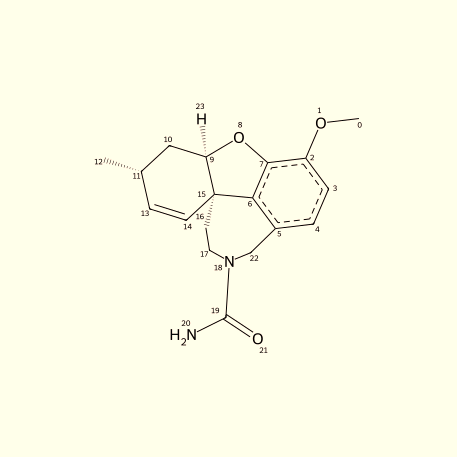 COc1ccc2c3c1O[C@@H]1C[C@@H](C)C=C[C@]31CCN(C(N)=O)C2